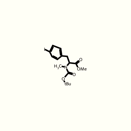 COC(=O)C(Cc1ccc(I)cc1)N(C)C(=O)OC(C)(C)C